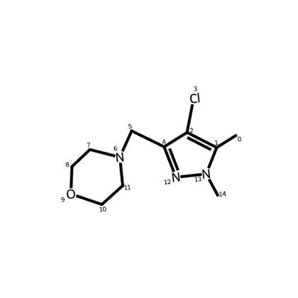 Cc1c(Cl)c(CN2CCOCC2)nn1C